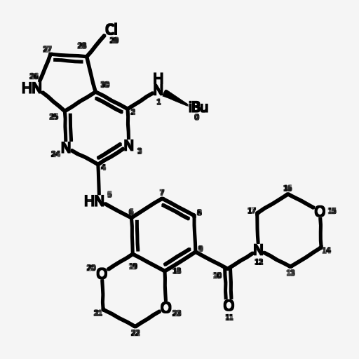 CC[C@H](C)Nc1nc(Nc2ccc(C(=O)N3CCOCC3)c3c2OCCO3)nc2[nH]cc(Cl)c12